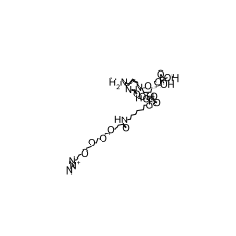 [N-]=[N+]=NCCOCCOCCOCCOCCC(=O)NCCCCCCOP(=O)(O)OC1[C@@H](COP(=O)(O)O)O[C@@H](n2ccc(N)nc2=O)[C@H]1O